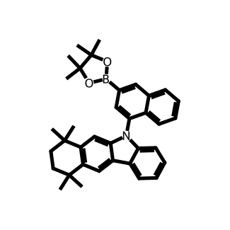 CC1(C)CCC(C)(C)c2cc3c(cc21)c1ccccc1n3-c1cc(B2OC(C)(C)C(C)(C)O2)cc2ccccc12